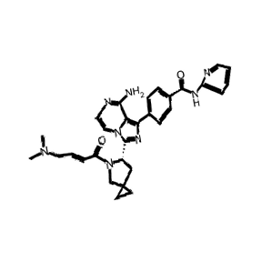 CN(C)C/C=C/C(=O)N1CC2(CC2)C[C@H]1c1nc(-c2ccc(C(=O)Nc3ccccn3)cc2)c2c(N)nccn12